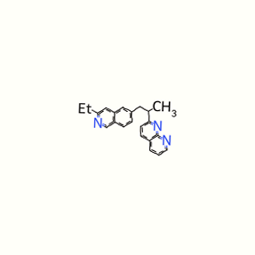 CCc1cc2cc(CC(C)c3ccc4cccnc4n3)ccc2cn1